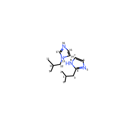 CC(C)Cc1ncc[nH]1.CC(C)Cn1ccnc1